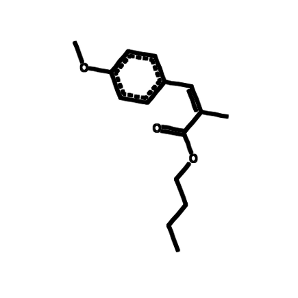 CCCCOC(=O)C(C)=Cc1ccc(OC)cc1